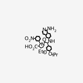 CCOc1cc(C(Nc2ccc3c(N)nccc3c2)C(=O)N2CCC(C(=O)O)C2c2cccc([N+](=O)[O-])c2)ccc1OC(C)C